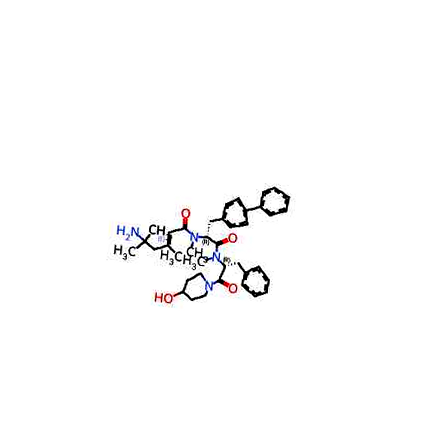 C/C(=C\C(=O)N(C)[C@H](Cc1ccc(-c2ccccc2)cc1)C(=O)N(C)[C@H](Cc1ccccc1)C(=O)N1CCC(O)CC1)CC(C)(C)N